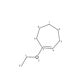 CCOC1=CCCCCC1